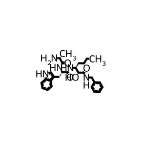 CCCC[C@H](NC(=O)[C@H](Cc1c[nH]c2ccccc12)NC(=O)[C@H](C)N)C(O)C(=O)NCc1ccccc1